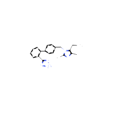 CCCCc1nc(C)c(CC#N)n1Cc1ccc(-c2ccccc2-c2nn[nH]n2)cc1